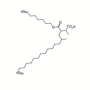 CCCCCCCCCCCCCCCCCCCCCCC(C)CC(C(=O)OCCCCCCCCCCCCCCCC)C(C)C(=O)O